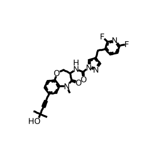 CN1C(=O)C(NC(=O)n2cc(Cc3ccc(F)nc3F)cn2)COc2ccc(C#CC(C)(C)O)cc21